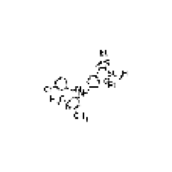 CCOc1cc(Cn2nc(-c3cccc(Cl)c3)c3c(C)nc(C)cc32)ccc1-c1cc(CC)sc1S(=O)(=O)O